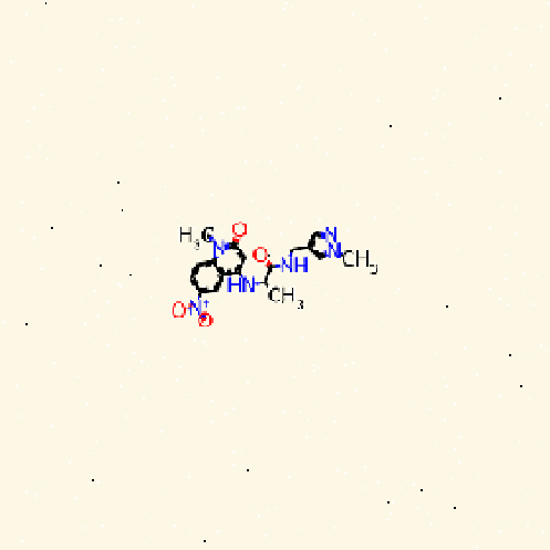 CC(Nc1cc(=O)n(C)c2ccc([N+](=O)[O-])cc12)C(=O)NCc1cnn(C)c1